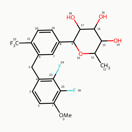 COc1ccc(Cc2cc(C3OC(C)C(O)C(O)C3O)ccc2C(F)(F)F)c(F)c1F